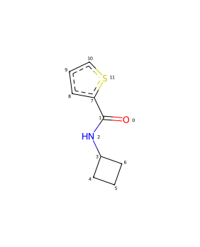 O=C(NC1CCC1)c1cccs1